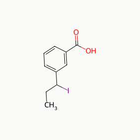 CCC(I)c1cccc(C(=O)O)c1